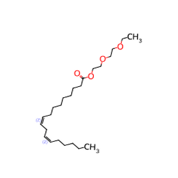 CCCCC/C=C\C/C=C\CCCCCCCC(=O)OCCOCCOCC